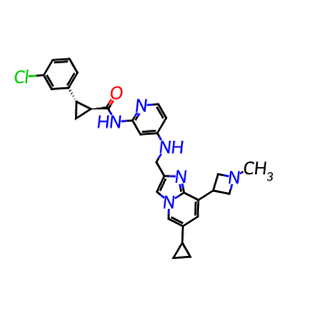 CN1CC(c2cc(C3CC3)cn3cc(CNc4ccnc(NC(=O)[C@H]5C[C@@H]5c5cccc(Cl)c5)c4)nc23)C1